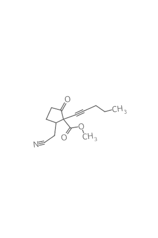 CCCC#CC1(C(=O)OC)C(=O)CCC1CC#N